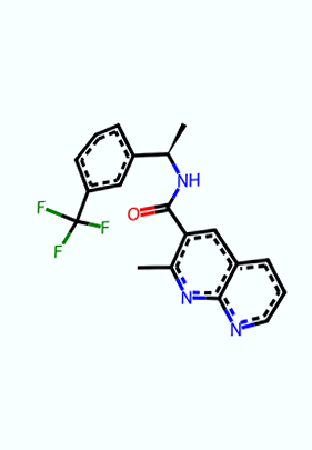 Cc1nc2ncccc2cc1C(=O)N[C@H](C)c1cccc(C(F)(F)F)c1